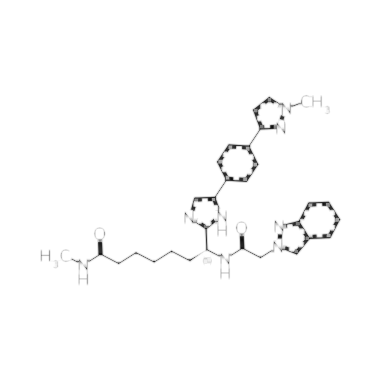 CNC(=O)CCCCC[C@H](NC(=O)Cn1cc2ccccc2n1)c1ncc(-c2ccc(-c3ccn(C)n3)cc2)[nH]1